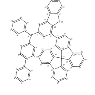 c1ccc(-c2ccc(N(c3ccccc3)c3cc(-c4ccc5c(c4)C4(c6ccccc6-c6ccccc64)c4ccccc4-5)c4sc5ccccc5c4c3)cc2)cc1